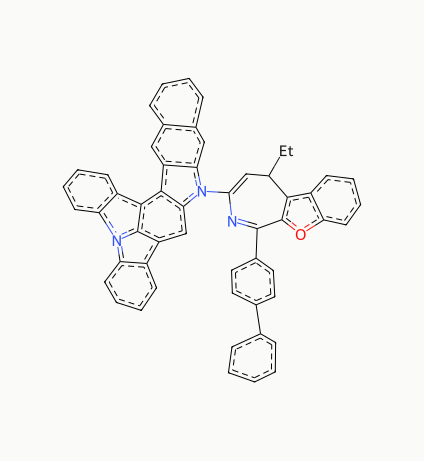 CCC1C=C(n2c3cc4ccccc4cc3c3c4c5ccccc5n5c6ccccc6c(cc32)c45)N=C(c2ccc(-c3ccccc3)cc2)c2oc3ccccc3c21